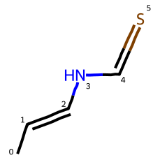 CC=CNC=S